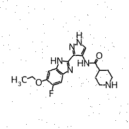 CCOc1cc2[nH]c(-c3n[nH]cc3NC(=O)C3CCNCC3)nc2cc1F